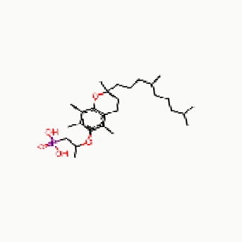 Cc1c(C)c2c(c(C)c1OC(C)CP(=O)(O)O)CCC(C)(CCCC(C)CCCC(C)C)O2